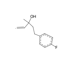 [CH]=CC(C)(O)CCc1ccc(F)cc1